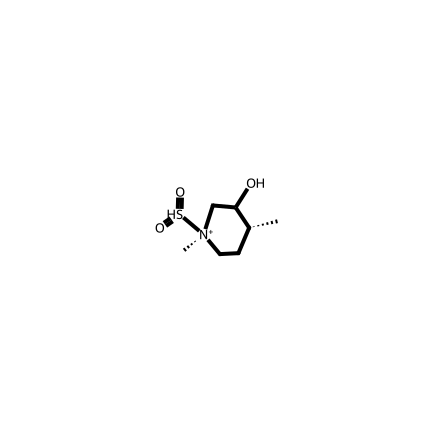 C[C@@H]1CC[N@@+](C)([SH](=O)=O)CC1O